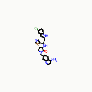 Nc1ccnc2cc(CN3CCC(N[C@H](Cc4cc5cc(Cl)ccc5[nH]4)c4cncs4)C3=O)ccc12